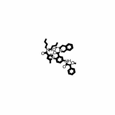 CCCCN(CCCC)C(=O)c1cc(C)n(-c2ccc(NC(=O)C(OC)c3ccccc3)cc2C(=O)N2Cc3ccccc3C[C@H]2CO)n1